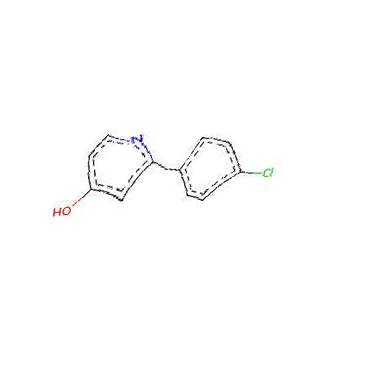 Oc1ccnc(-c2ccc(Cl)cc2)c1